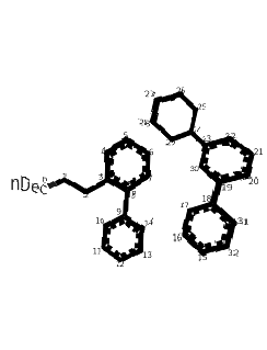 CCCCCCCCCCCCc1ccccc1-c1ccccc1.c1ccc(-c2cccc(C3CCCCC3)c2)cc1